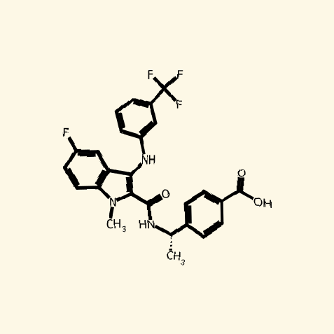 C[C@H](NC(=O)c1c(Nc2cccc(C(F)(F)F)c2)c2cc(F)ccc2n1C)c1ccc(C(=O)O)cc1